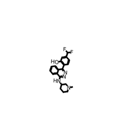 CN1CCCC(Nc2nnc(-c3ccc(C(F)F)cc3O)c3ccccc23)C1